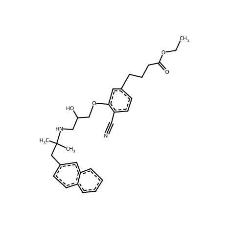 CCOC(=O)CCCc1ccc(C#N)c(OCC(O)CNC(C)(C)Cc2ccc3ccccc3c2)c1